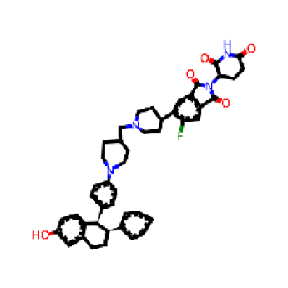 O=C1CCC(N2C(=O)c3cc(F)c(C4CCN(CC5CCN(c6ccc([C@@H]7c8ccc(O)cc8CC[C@@H]7c7ccccc7)cc6)CC5)CC4)cc3C2=O)C(=O)N1